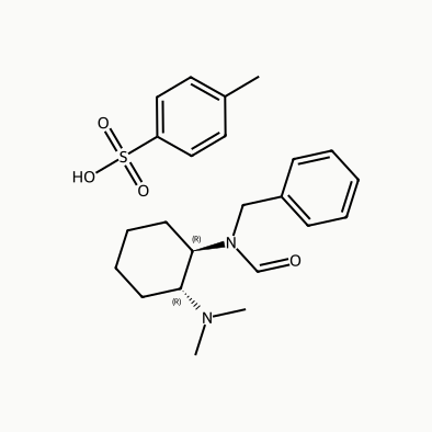 CN(C)[C@@H]1CCCC[C@H]1N(C=O)Cc1ccccc1.Cc1ccc(S(=O)(=O)O)cc1